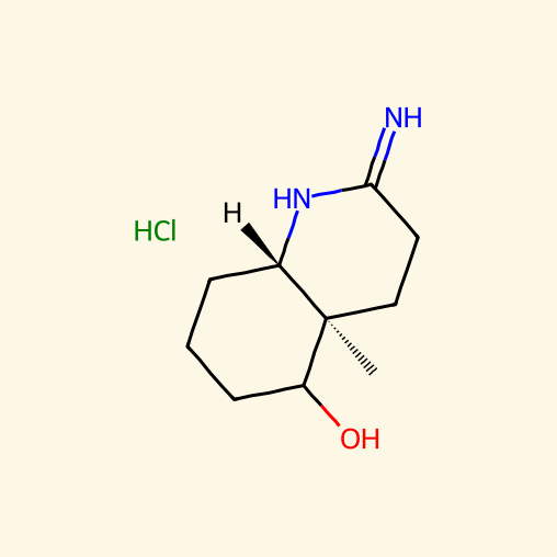 C[C@@]12CCC(=N)N[C@H]1CCCC2O.Cl